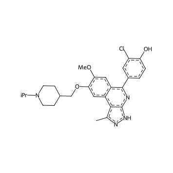 COc1cc2c(-c3ccc(O)c(Cl)c3)nc3[nH]nc(C)c3c2cc1OCC1CCN(C(C)C)CC1